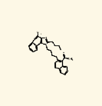 CCCCc1nc2c(N)nc3ccccc3c2n1CCCCc1ccc2ccccc2c1C(N)=O